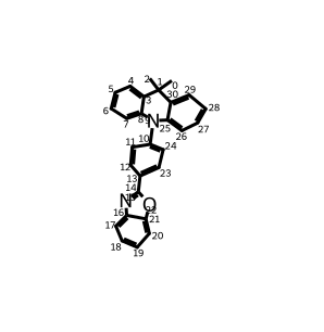 CC1(C)c2ccccc2N(c2ccc(-c3nc4ccccc4o3)cc2)c2ccccc21